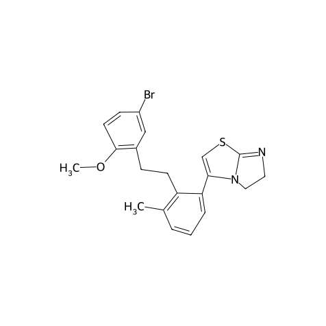 COc1ccc(Br)cc1CCc1c(C)cccc1C1=CSC2=NCCN12